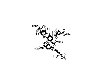 CN(C(=O)OC(C)(C)C)[C@@H]1[C@@H](O)[C@@H](O[C@@H]2[C@@H](O)[C@H](O[C@H]3OC(CNCCO[Si](C)(C)C(C)(C)C)=CC[C@H]3NC(=O)OC(C)(C)C)[C@@H](NC(=O)OC(C)(C)C)C[C@H]2NC(=O)C2(O)CN(C(=O)OC(C)(C)C)C2)OC[C@]1(C)O